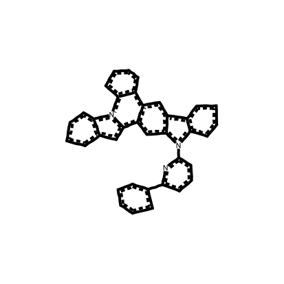 c1ccc(-c2cccc(-n3c4ccccc4c4cc5c6ccccc6n6c7ccccc7cc6c5cc43)n2)cc1